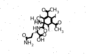 CNC1(C(=O)N[C@@H](CCC(N)=O)C(=O)O)C(I)=C(C(C)=O)C(I)=C(C(C)=O)C1I